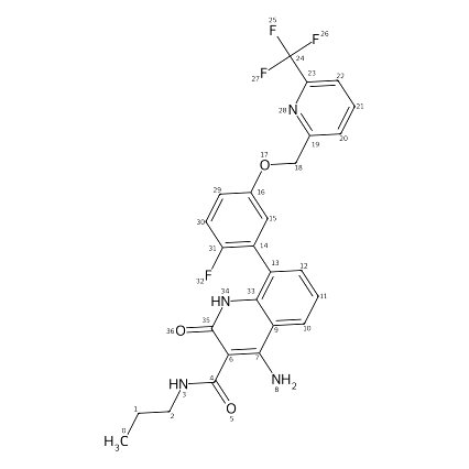 CCCNC(=O)c1c(N)c2cccc(-c3cc(OCc4cccc(C(F)(F)F)n4)ccc3F)c2[nH]c1=O